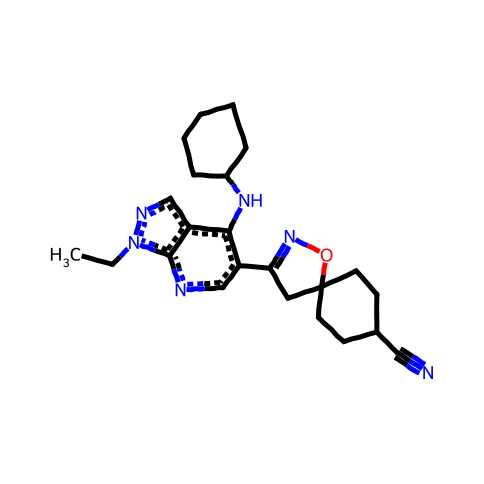 CCn1ncc2c(NC3CCCCC3)c(C3=NOC4(CCC(C#N)CC4)C3)cnc21